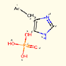 CC(C)=O.O=P(O)(O)O.c1c[nH]cn1